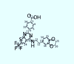 O=C(O)c1ccc(-c2nc(NCCc3ccc4c(c3)OCCO4)c3cc(C(F)(F)F)sc3n2)cc1